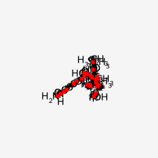 CC(C)(C)C(c1cc(-c2cc(F)ccc2F)cn1Cc1ccccc1)N(CCCNC(=O)OCC[Si](C)(C)C)C(=O)CSCC(NCCCOCCOCCOCCOCCNC(=O)CN)C(=O)O.O=C(O)C(F)(F)F